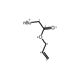 [CH2]CCCCC(=O)OCC=C